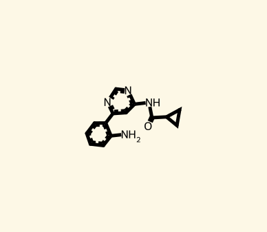 Nc1ccccc1-c1cc(NC(=O)C2CC2)ncn1